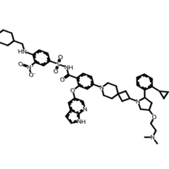 CN(C)CCOC1CC(c2ccccc2C2CC2)N(C2CC3(CCN(c4ccc(C(=O)NS(=O)(=O)c5ccc(NCC6CCOCC6)c([N+](=O)[O-])c5)c(Oc5cnc6[nH]ccc6c5)c4)CC3)C2)C1